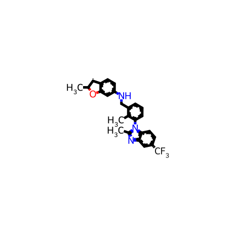 Cc1c(CNc2ccc3c(c2)OC(C)[CH]3)cccc1-n1c(C)nc2cc(C(F)(F)F)ccc21